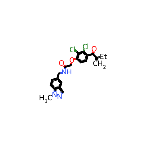 C=C(CC)C(=O)c1ccc(OCC(=O)NCc2ccc3c(cnn3C)c2)c(Cl)c1Cl